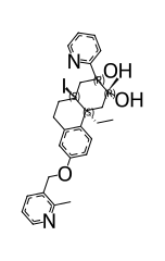 CC[C@@]12C[C@@](C)(O)[C@](O)(c3ccccn3)C[C@@]1(I)CCc1cc(OCc3cccnc3C)ccc12